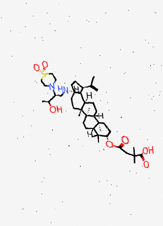 C=C(C)[C@@H]1CC[C@]2(NC[C@@H]([C@H](C)O)N3CCS(=O)(=O)CC3)CC[C@]3(C)[C@H](CC[C@@H]4[C@@]5(C)CC[C@H](OC(=O)CC(C)(C)C(=O)O)C(C)(C)[C@@H]5CC[C@]43C)[C@@H]12